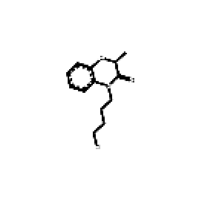 CC1Oc2ccccc2N(CCCCCl)C1=O